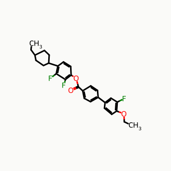 CCOc1ccc(-c2ccc(C(=O)Oc3ccc(C4CCC(CC)CC4)c(F)c3F)cc2)cc1F